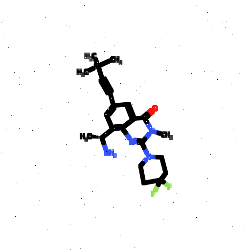 C[C@@H](N)c1cc(C#C[Si](C)(C)C)cc2c(=O)n(C)c(N3CCC(F)(F)CC3)nc12